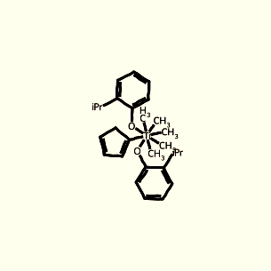 CC(C)c1ccccc1[O][Ti]([CH3])([CH3])([CH3])([CH3])([CH3])([O]c1ccccc1C(C)C)[C]1=CC=CC1